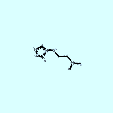 CN(C)CCSn1cnnn1